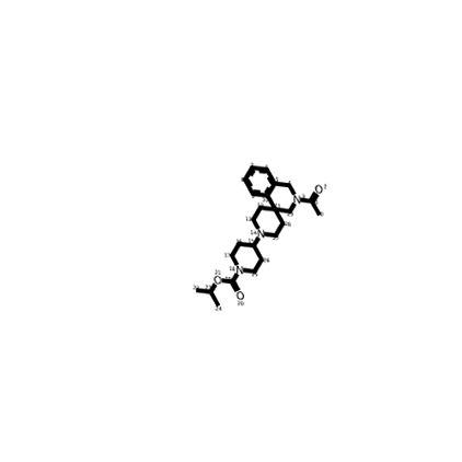 CC(=O)N1Cc2ccccc2C2(CCN(C3CCN(C(=O)OC(C)C)CC3)CC2)C1